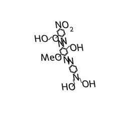 COc1cc(/N=N/c2ccc([N+](=O)[O-])cc2OCCO)c(CO)cc1/N=N/c1ccc(N(CCO)CCO)cc1